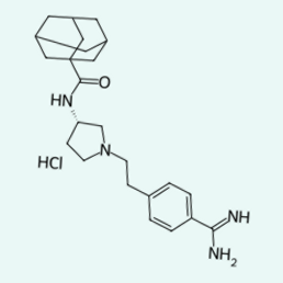 Cl.N=C(N)c1ccc(CCN2CC[C@H](NC(=O)C34CC5CC(CC(C5)C3)C4)C2)cc1